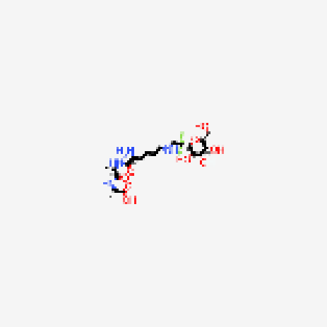 C[C@H](NC(=O)[C@H](C)NC(=O)[C@@H](N)CCCCNCC(F)(F)[C@@H]1O[C@H](CO)[C@H](O)[C@H](O)[C@H]1O)C(=O)O